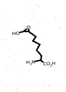 NC(CCCCCC1OC1O)C(=O)O